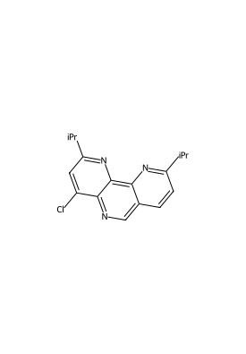 CC(C)c1ccc2cnc3c(Cl)cc(C(C)C)nc3c2n1